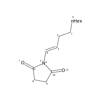 CCCCCCCCC=C[N+]1C(=O)CCC1=O